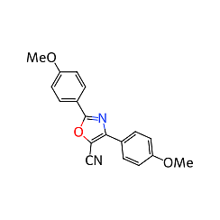 COc1ccc(-c2nc(-c3ccc(OC)cc3)c(C#N)o2)cc1